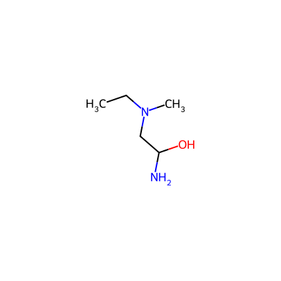 CCN(C)CC(N)O